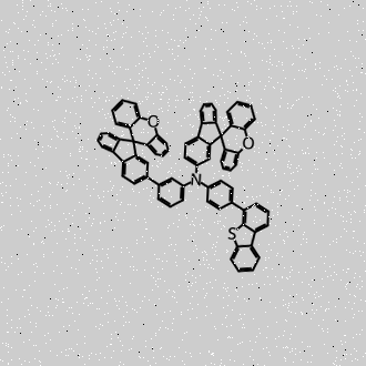 c1cc(-c2ccc3c(c2)C2(c4ccccc4Oc4ccccc42)c2ccccc2-3)cc(N(c2ccc(-c3cccc4c3sc3ccccc34)cc2)c2ccc3c(c2)C2(c4ccccc4Oc4ccccc42)c2ccccc2-3)c1